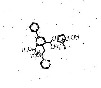 CC(C)c1cc(-c2ccccc2)cc(C(C)C)c1CN(C)c1ccccc1.Cl.Cl.[Ti][C]1=CC=CC1